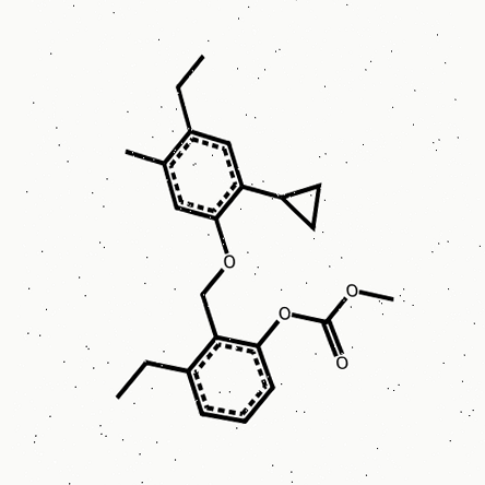 CCc1cc(C2CC2)c(OCc2c(CC)cccc2OC(=O)OC)cc1C